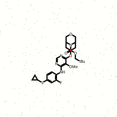 COc1c(Nc2ccc(SC3CC3)cc2F)ncnc1OC1CC2COCC(C1)N2C(=O)OCC(C)(C)C